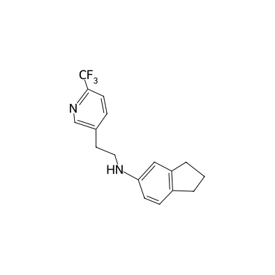 FC(F)(F)c1ccc(CCNc2ccc3c(c2)CCC3)cn1